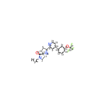 CN1CC[C@@]2(CCC(c3cc(-c4cccc(OC(F)(F)F)c4)ccn3)=N2)C1=O